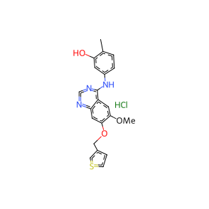 COc1cc2c(Nc3ccc(C)c(O)c3)ncnc2cc1OCc1ccsc1.Cl